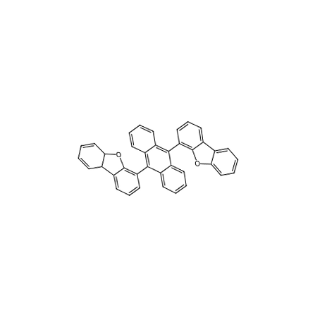 C1=CC2Oc3c(-c4c5ccccc5c(-c5cccc6c5oc5ccccc56)c5ccccc45)cccc3C2C=C1